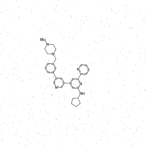 CC(C)(C)N1CCN(Cc2cccc(-c3cncc(-c4cc(NC5CCCC5)nc(-c5ccccn5)c4)c3)c2)CC1